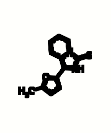 Cc1ccc(-c2[nH]c(=S)n3ccccc23)o1